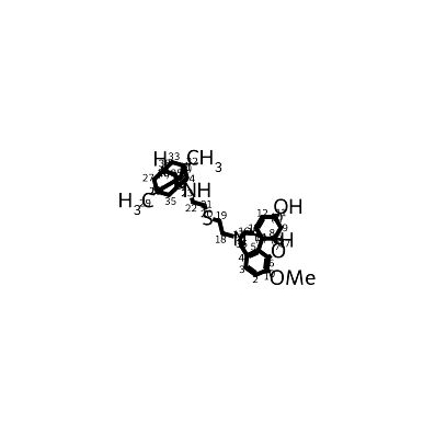 COc1ccc2c3c1O[C@H]1C[C@@H](O)C=C[C@@]31CCN(CCSCCN[C@]13C[C@@H]4C[C@@](C)(C[C@@](C)(C4)C1)C3)C2